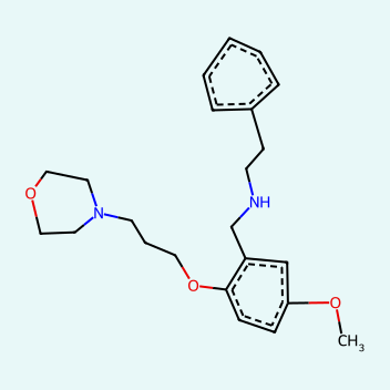 COc1ccc(OCCCN2CCOCC2)c(CNCCc2ccccc2)c1